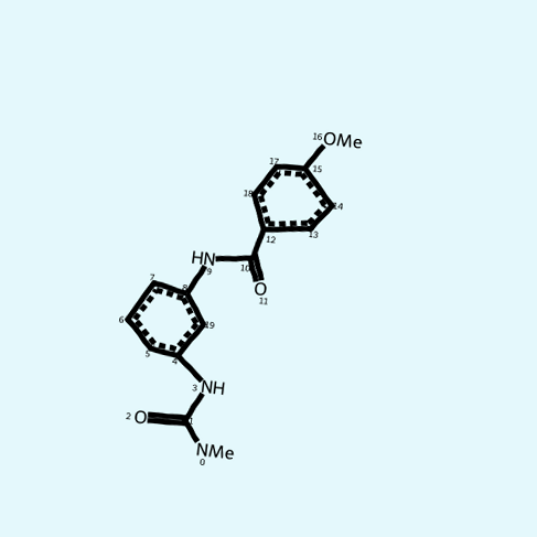 CNC(=O)Nc1cccc(NC(=O)c2ccc(OC)cc2)c1